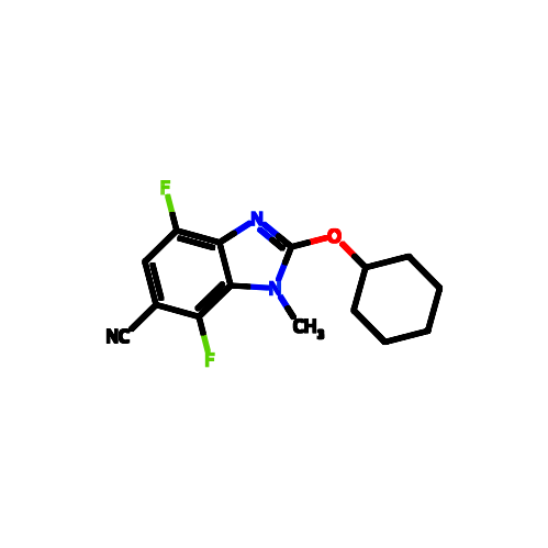 Cn1c(OC2CCCCC2)nc2c(F)cc(C#N)c(F)c21